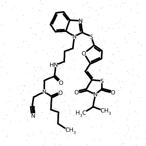 CCCCC(=O)N(CC#N)CC(=O)NCCCn1c(Sc2ccc(/C=C3\SC(=O)N(C(C)C)C3=O)o2)nc2ccccc21